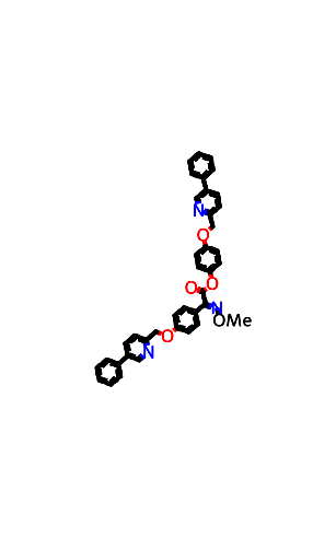 CON=C(C(=O)Oc1ccc(OCc2ccc(-c3ccccc3)cn2)cc1)c1ccc(OCc2ccc(-c3ccccc3)cn2)cc1